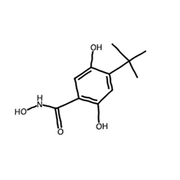 CC(C)(C)c1cc(O)c(C(=O)NO)cc1O